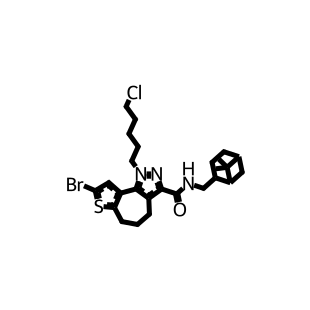 CC1(C)C2CCC(CNC(=O)c3nn(CCCCCCl)c4c3CCCc3sc(Br)cc3-4)C1C2